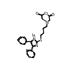 O=C1CN(CCCCSc2nc(-c3ccccc3)c(-c3ccccc3)[nH]2)CC(=O)O1